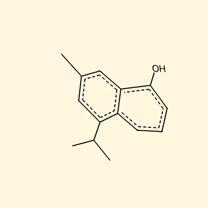 Cc1cc(C(C)C)c2cccc(O)c2c1